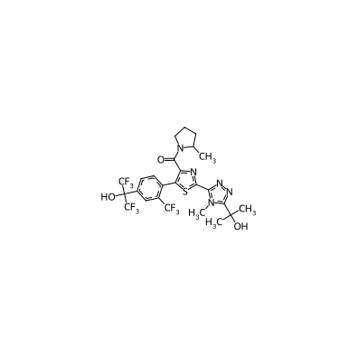 CC1CCCN1C(=O)c1nc(-c2nnc(C(C)(C)O)n2C)sc1-c1ccc(C(O)(C(F)(F)F)C(F)(F)F)cc1C(F)(F)F